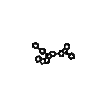 c1ccc(-c2ccc(-n3c4ccc(-c5ccc6c(c5)c5ccccc5n6-c5ccccc5)cc4c4ccc5c(c43)-c3ccccc3C5)cc2)cc1